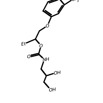 CCC(COc1cccc(C(F)(F)F)c1)OC(=O)NCC(O)CO